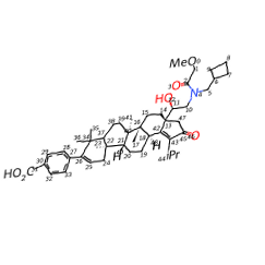 COCC(=O)N(CC1CCC1)C[C@H](O)[C@@]12CC[C@]3(C)[C@H](CC[C@@H]4[C@@]5(C)CC=C(c6ccc(C(=O)O)cc6)C(C)(C)C5CC[C@]43C)C1=C(C(C)C)C(=O)C2